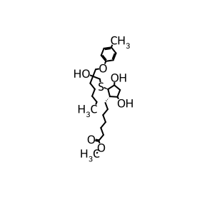 CCCCCC(O)(COc1ccc(C)cc1)CS[C@H]1C(O)CC(O)[C@@H]1CCCCCCC(=O)OC